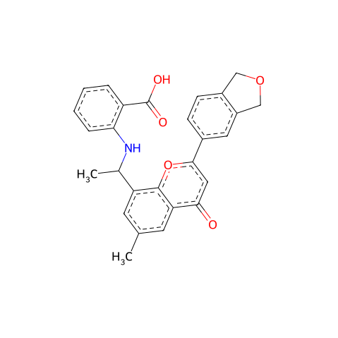 Cc1cc(C(C)Nc2ccccc2C(=O)O)c2oc(-c3ccc4c(c3)COC4)cc(=O)c2c1